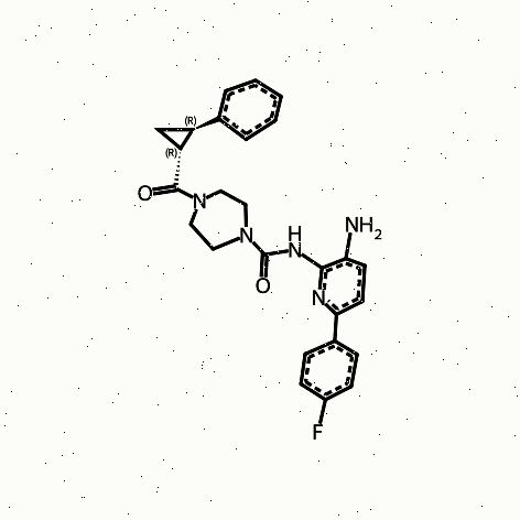 Nc1ccc(-c2ccc(F)cc2)nc1NC(=O)N1CCN(C(=O)[C@@H]2C[C@H]2c2ccccc2)CC1